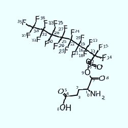 N[C@@H](CCC(=O)O)C(=O)OS(=O)(=O)C(F)(F)C(F)(F)C(F)(F)C(F)(F)C(F)(F)C(F)(F)C(F)(F)C(F)(F)F